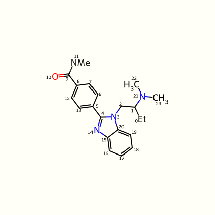 CCC(Cn1c(-c2ccc(C(=O)NC)cc2)nc2ccccc21)N(C)C